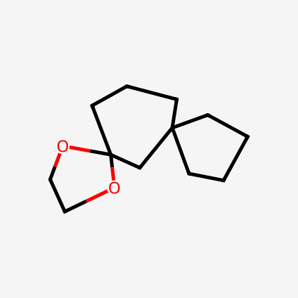 C1CCC2(C1)CCCC1(C2)OCCO1